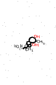 C[C@H]1C[C@H](O)CCCC2CC[C@@]3(C)C(CCC3[C@H](C)CCC(=O)O)C2[C@H](O)C1